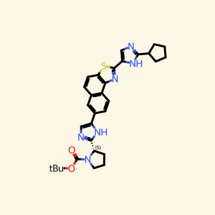 CC(C)(C)OC(=O)N1CCC[C@H]1c1ncc(-c2ccc3c(ccc4sc(-c5cnc(C6CCCC6)[nH]5)nc43)c2)[nH]1